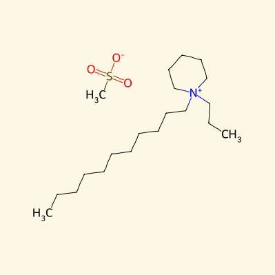 CCCCCCCCCCC[N+]1(CCC)CCCCC1.CS(=O)(=O)[O-]